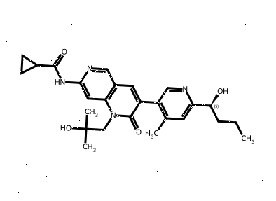 CCC[C@H](O)c1cc(C)c(-c2cc3cnc(NC(=O)C4CC4)cc3n(CC(C)(C)O)c2=O)cn1